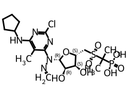 C=NN(c1nc(Cl)nc(NC2CCCC2)c1C)[C@@H]1O[C@H](CS(=O)(=O)C(C)(C)P(=O)(O)O)[C@@H](O)[C@H]1O